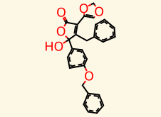 O=C1OC(O)(c2ccc(OCc3ccccc3)cc2)C(Cc2ccccc2)=C1C1=COCO1